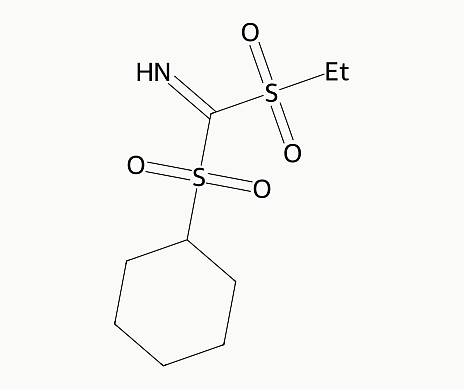 CCS(=O)(=O)C(=N)S(=O)(=O)C1CCCCC1